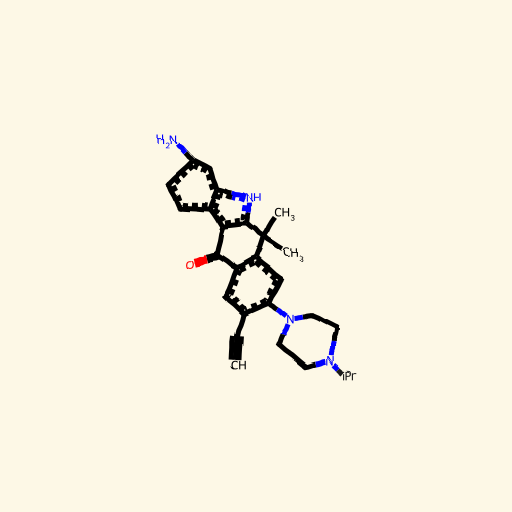 C#Cc1cc2c(cc1N1CCN(C(C)C)CC1)C(C)(C)c1[nH]c3cc(N)ccc3c1C2=O